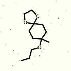 CCCOC1(C)CCC2(CC1)OCCO2